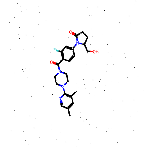 Cc1cnc(N2CCN(C(=O)c3ccc(N4C(=O)CCC4CO)cc3F)CC2)c(C)c1